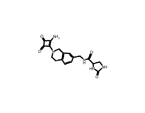 Nc1c(N2CCc3ccc(CNC(=O)C4CNC(=O)N4)cc3C2)c(=O)c1=O